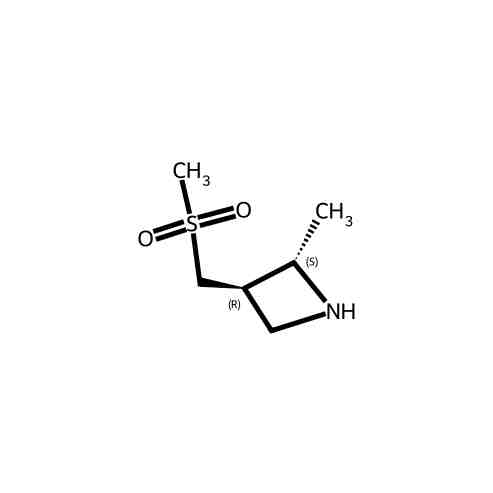 C[C@@H]1NC[C@H]1CS(C)(=O)=O